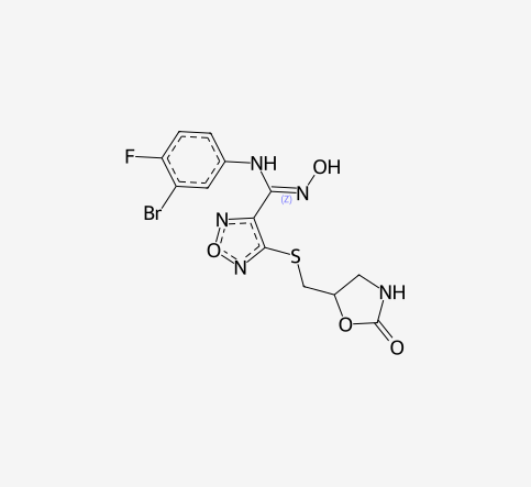 O=C1NCC(CSc2nonc2/C(=N/O)Nc2ccc(F)c(Br)c2)O1